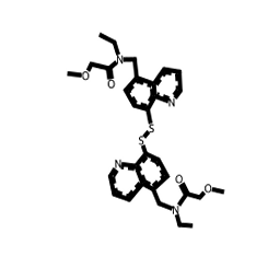 CCN(Cc1ccc(SSc2ccc(CN(CC)C(=O)COC)c3cccnc23)c2ncccc12)C(=O)COC